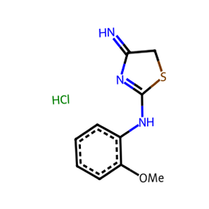 COc1ccccc1NC1=NC(=N)CS1.Cl